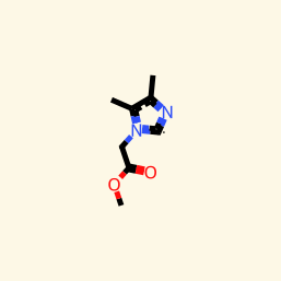 COC(=O)Cn1[c]nc(C)c1C